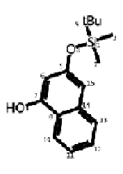 CC(C)(C)[Si](C)(C)Oc1cc(O)c2ccccc2c1